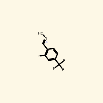 O/N=C/c1ccc(C(F)(F)F)cc1F